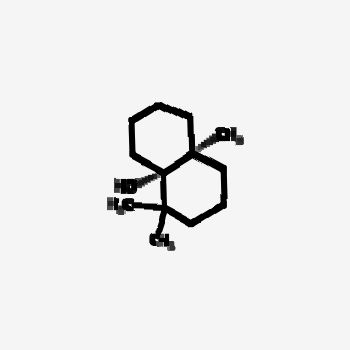 CC1(C)CCC[C@]2(C)CCCC[C@]12O